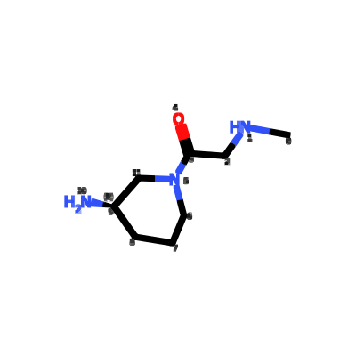 CNCC(=O)N1CCC[C@@H](N)C1